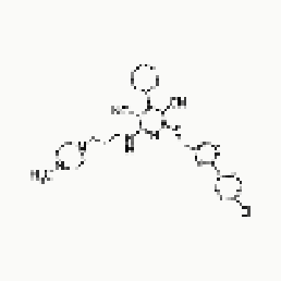 CN1CCN(CCCNc2nc(SCc3csc(-c4ccc(Cl)cc4)n3)c(C#N)c(C3CCCCC3)c2C#N)CC1